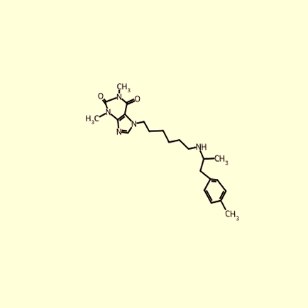 Cc1ccc(CC(C)NCCCCCCn2cnc3c2c(=O)n(C)c(=O)n3C)cc1